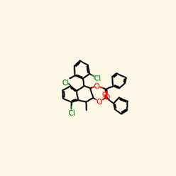 Cc1cccc(Cl)c1C1c2c(Cl)ccc(Cl)c2C(C)C(OC(=O)c2ccccc2)C1OC(=O)c1ccccc1